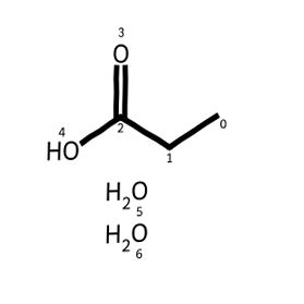 CCC(=O)O.O.O